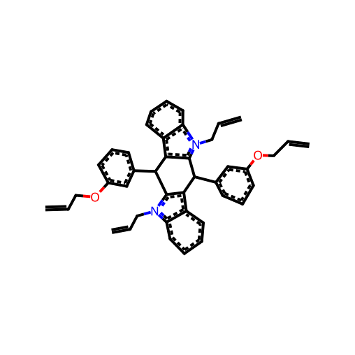 C=CCOc1cccc(C2c3c(n(CC=C)c4ccccc34)C(c3cccc(OCC=C)c3)c3c2n(CC=C)c2ccccc32)c1